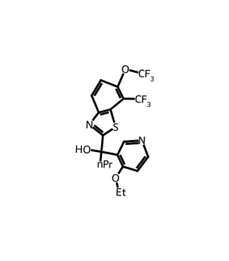 CCCC(O)(c1nc2ccc(OC(F)(F)F)c(C(F)(F)F)c2s1)c1cnccc1OCC